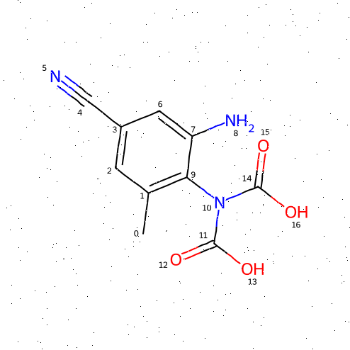 Cc1cc(C#N)cc(N)c1N(C(=O)O)C(=O)O